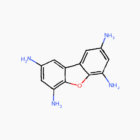 Nc1cc(N)c2oc3c(N)cc(N)cc3c2c1